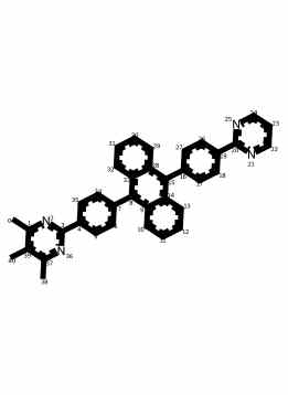 Cc1nc(-c2ccc(-c3c4ccccc4c(-c4ccc(-c5ncccn5)cc4)c4ccccc34)cc2)nc(C)c1C